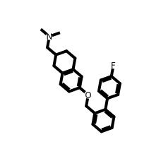 CN(C)CC1CCc2cc(OCc3ccccc3-c3ccc(F)cc3)ccc2C1